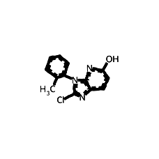 Cc1ccccc1-n1c(Cl)nc2ccc(O)nc21